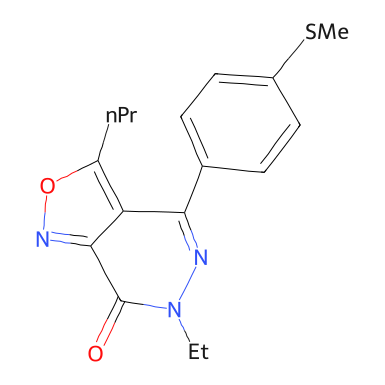 CCCc1onc2c(=O)n(CC)nc(-c3ccc(SC)cc3)c12